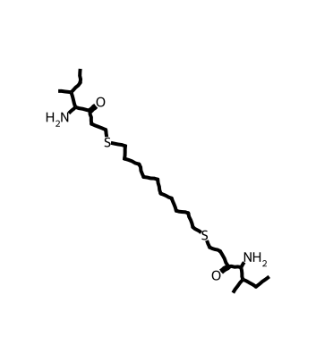 CCC(C)C(N)C(=O)CCSCCCCCCCCCCSCCC(=O)C(N)C(C)CC